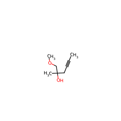 CC#CCC(C)(O)COC